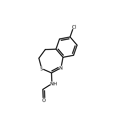 O=CNC1=Nc2ccc(Cl)cc2CCS1